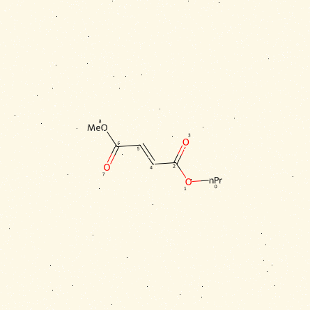 CCCOC(=O)/C=C/C(=O)OC